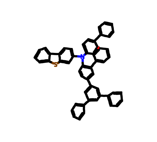 c1ccc(-c2ccc(N(c3ccc4c(c3)sc3ccccc34)c3ccc(-c4cc(-c5ccccc5)cc(-c5ccccc5)c4)cc3-c3ccccc3)cc2)cc1